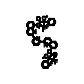 COC(C(=O)Oc1cccc2ccc(-c3cccc(-c4ccc5cccc(OC(=O)C(OC)(c6ccccc6)C(F)(F)F)c5n4)n3)nc12)(c1ccccc1)C(F)(F)F